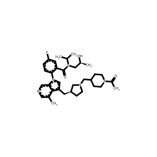 CC(=O)N1CCC(CN2CC[C@@H](Cc3cn(-c4ccc(F)cc4C(=O)N(C[C@H](C)O)C(C)C)c4cncc(C)c34)C2)CC1